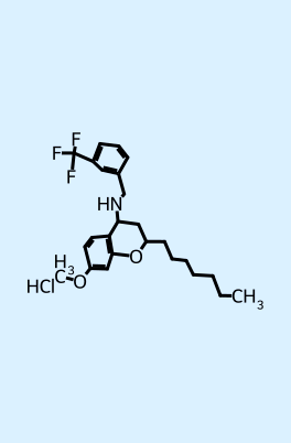 CCCCCCCC1CC(NCc2cccc(C(F)(F)F)c2)c2ccc(OC)cc2O1.Cl